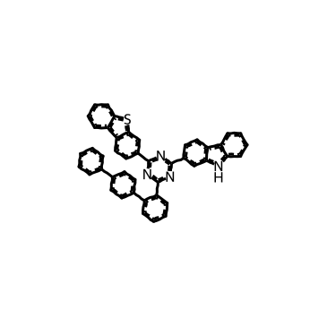 c1ccc(-c2ccc(-c3ccccc3-c3nc(-c4ccc5c(c4)[nH]c4ccccc45)nc(-c4ccc5c(c4)sc4ccccc45)n3)cc2)cc1